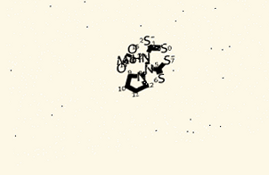 S=C([S-])NN(C(=S)[S-])N1CCCC1.[O]=[Mo+2]=[O]